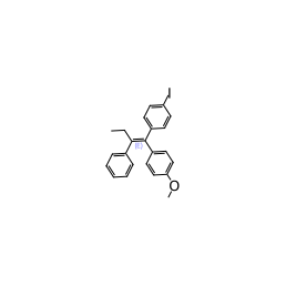 CC/C(=C(\c1ccc(I)cc1)c1ccc(OC)cc1)c1ccccc1